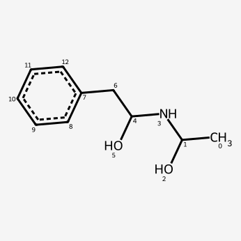 CC(O)NC(O)Cc1ccccc1